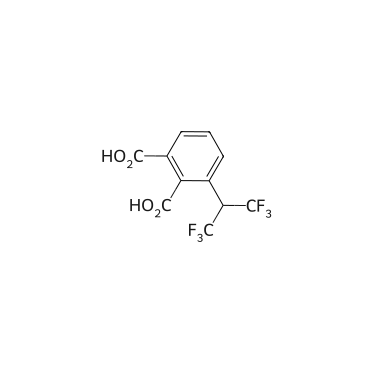 O=C(O)c1cccc(C(C(F)(F)F)C(F)(F)F)c1C(=O)O